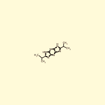 CC(C)c1nc2nc3nc(C(C)C)[nH]c3nc2[nH]1